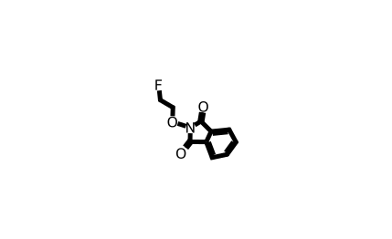 O=C1c2ccccc2C(=O)N1OCCF